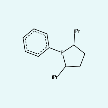 CC(C)C1CCC(C(C)C)P1c1ccccc1